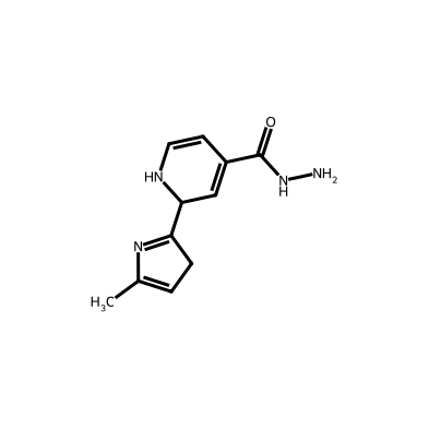 CC1=CCC(C2C=C(C(=O)NN)C=CN2)=N1